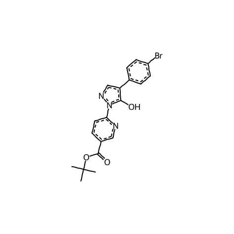 CC(C)(C)OC(=O)c1ccc(-n2ncc(-c3ccc(Br)cc3)c2O)nc1